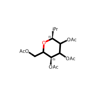 CC(=O)OCC1O[C@@H](C(C)C)C(OC(C)=O)C(OC(C)=O)[C@H]1OC(C)=O